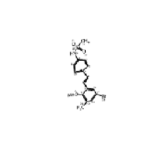 COc1c(/C=C/c2ccc(NS(C)(=O)=O)cc2)cc(Br)cc1C(F)(F)F